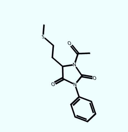 CSCCC1C(=O)N(c2ccccc2)C(=O)N1C(C)=O